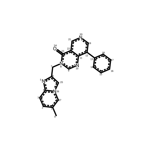 Cc1ccc2nc(Cn3cnc4c(-c5ccccc5)cncc4c3=O)cn2c1